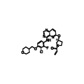 C=CC(=O)N1CC[C@H](Oc2ccc3ncnc(Nc4ccc(OCC5CCOCC5)c(Cl)c4F)c3n2)C1